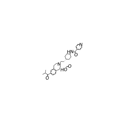 CC(C)C(=O)c1ccc2c(c1)CCN(CC[C@H]1CC[C@H](NC(=O)c3ccncc3)CC1)CC2.O=CO